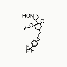 C=CCOC1=C(C(C=NO)CC)C(=O)CC(CCSc2ccc(C(F)(F)F)cc2)C1